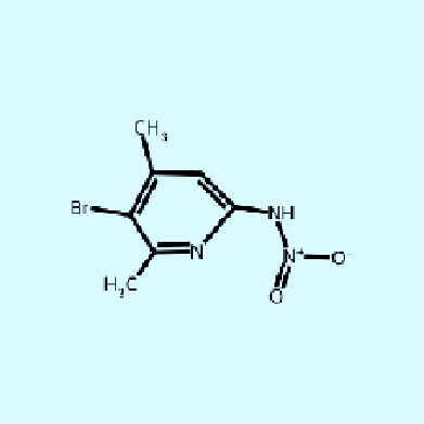 Cc1cc(N[N+](=O)[O-])nc(C)c1Br